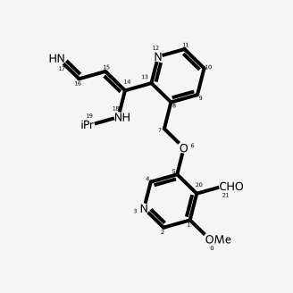 COc1cncc(OCc2cccnc2/C(=C/C=N)NC(C)C)c1C=O